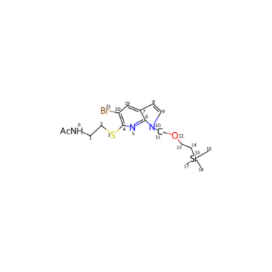 CC(=O)NCCSc1nc2c(ccn2COCC[Si](C)(C)C)cc1Br